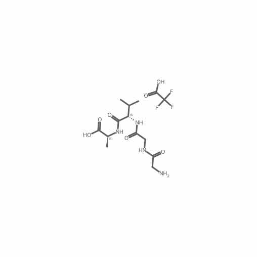 CC(C)[C@H](NC(=O)CNC(=O)CN)C(=O)N[C@@H](C)C(=O)O.O=C(O)C(F)(F)F